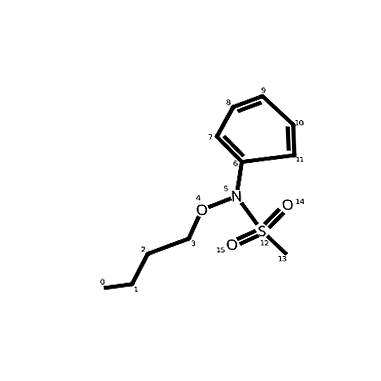 CCCCON(c1ccccc1)S(C)(=O)=O